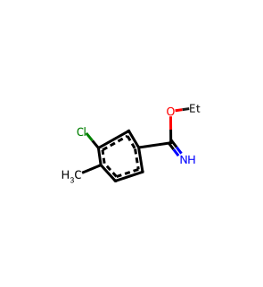 CCOC(=N)c1ccc(C)c(Cl)c1